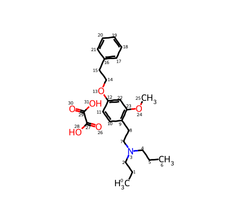 CCCN(CCC)CCc1ccc(OCCc2ccccc2)cc1OC.O=C(O)C(=O)O